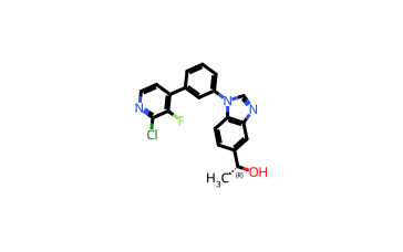 C[C@@H](O)c1ccc2c(c1)ncn2-c1cccc(-c2ccnc(Cl)c2F)c1